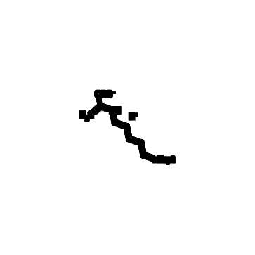 CCCCCCCCCCCCN[C@@H](C)C(=O)[O-].[K+]